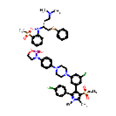 Cc1c(S(C)(=O)=O)c(-c2cc(F)cc(N3CCN(c4ccc(N5CCO[P@@]5(=O)c5ccc(N[C@H](CCN(C)C)CSc6ccccc6)c(S(=O)(=O)C(F)(F)F)c5)cc4)CC3)c2)c(-c2ccc(Cl)cc2)n1C(C)C